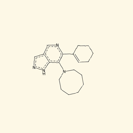 [c]1nc(C2=CCCCC2)c(N2CCCCCCC2)c2[nH]ncc12